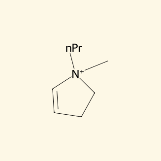 CCC[N+]1(C)C=CCC1